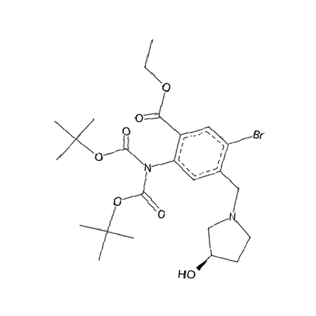 CCOC(=O)c1cc(Br)c(CN2CC[C@@H](O)C2)cc1N(C(=O)OC(C)(C)C)C(=O)OC(C)(C)C